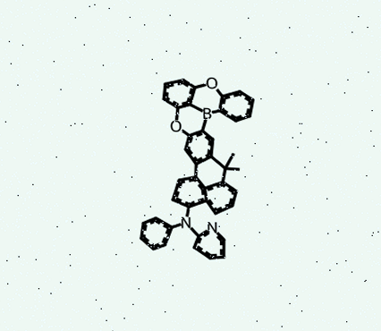 CC1(C)c2cc3c(cc2-c2ccc(N(c4ccccc4)c4ccccn4)c4cccc1c24)Oc1cccc2c1B3c1ccccc1O2